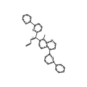 C=C/C=C(/c1cccc(-c2ccccc2)n1)c1ccc2c(-c3cccc(-c4ccccc4)n3)ccnc2c1C